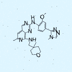 COc1cc(-c2nncn2C)ccc1Nc1ncc2cc(C)nc(NCC3(C)CCOCC3)c2n1